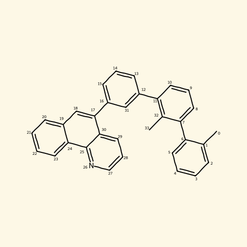 Cc1ccccc1-c1cccc(-c2cccc(-c3cc4ccccc4c4ncccc34)c2)c1C